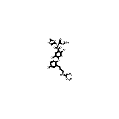 CC(NCCCc1cc(Cl)ccc1Oc1cc(F)c(S(=O)(=O)N(C(=O)OC(C)(C)C)c2cscn2)cc1Cl)C(=O)O